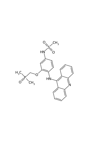 CP(C)(=O)COc1cc(NS(C)(=O)=O)ccc1Nc1c2ccccc2nc2ccccc12